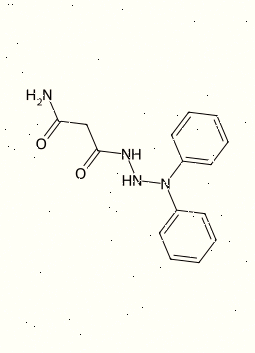 NC(=O)CC(=O)NNN(c1ccccc1)c1ccccc1